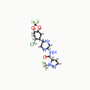 O=C(Nc1cnc(-c2cc3c(cc2Cl)OC(F)(F)O3)cn1)c1ccnn1C(F)F